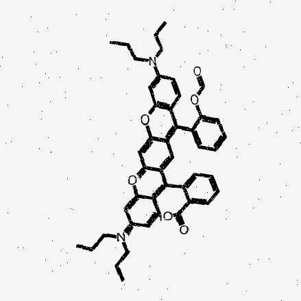 CCCN(CCC)c1ccc2c(-c3ccccc3OC=O)c3cc4c(-c5ccccc5C(=O)O)c5ccc(=[N+](CCC)CCC)cc5[o+]c4cc3oc2c1